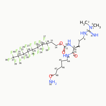 CN(C)C(=N)NCCC[C@H](NC(=O)OCCC(F)(F)C(F)(F)C(F)(F)C(F)(F)C(F)(F)C(F)(F)C(F)(F)C(F)(F)F)C(=O)NCCCCCON